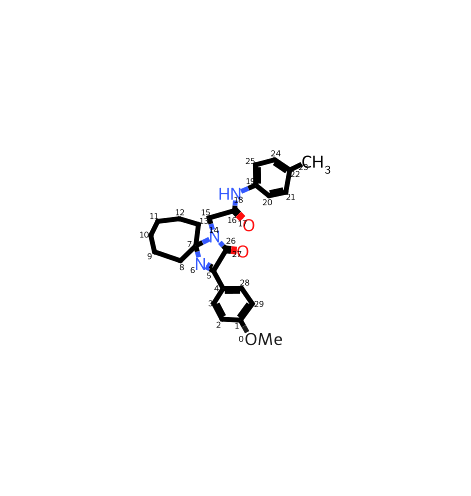 COc1ccc(C2=NC3(CCCCCC3)N(CC(=O)Nc3ccc(C)cc3)C2=O)cc1